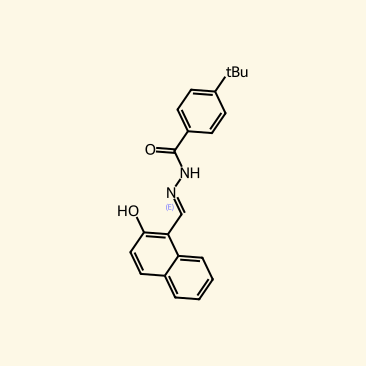 CC(C)(C)c1ccc(C(=O)N/N=C/c2c(O)ccc3ccccc23)cc1